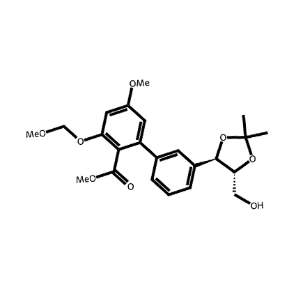 COCOc1cc(OC)cc(-c2cccc([C@H]3OC(C)(C)O[C@@H]3CO)c2)c1C(=O)OC